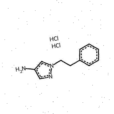 Cl.Cl.Nc1cnn(CCc2ccccc2)c1